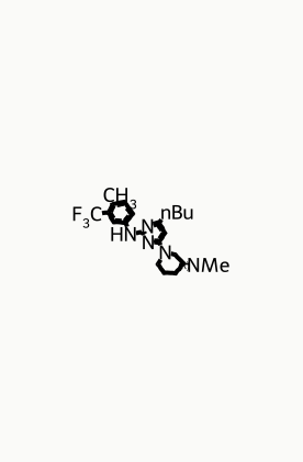 CCCCc1cc(N2CCC[C@@H](NC)C2)nc(Nc2ccc(C)c(C(F)(F)F)c2)n1